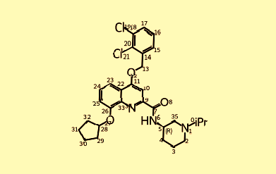 CC(C)N1CCC[C@@H](NC(=O)c2cc(OCc3cccc(Cl)c3Cl)c3cccc(OC4CCCC4)c3n2)C1